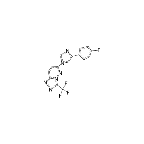 Fc1ccc(-c2cn(-c3ccc4nnc(C(F)(F)F)n4n3)cn2)cc1